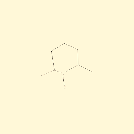 CC1CCCC(C)N1F